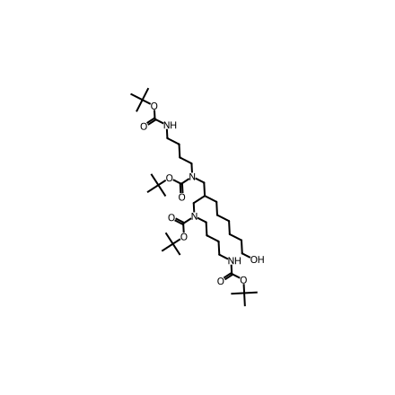 CC(C)(C)OC(=O)NCCCCN(CC(CCCCCCO)CN(CCCCNC(=O)OC(C)(C)C)C(=O)OC(C)(C)C)C(=O)OC(C)(C)C